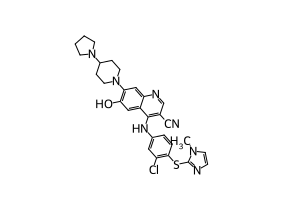 Cn1ccnc1Sc1ccc(Nc2c(C#N)cnc3cc(N4CCC(N5CCCC5)CC4)c(O)cc23)cc1Cl